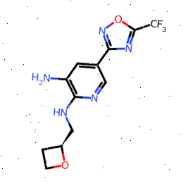 Nc1cc(-c2noc(C(F)(F)F)n2)cnc1NC[C@@H]1CCO1